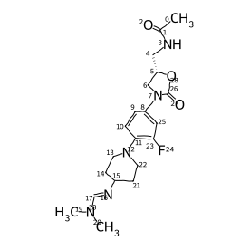 CC(=O)NC[C@H]1CN(c2ccc(N3CCC(/N=C/N(C)C)CC3)c(F)c2)C(=O)O1